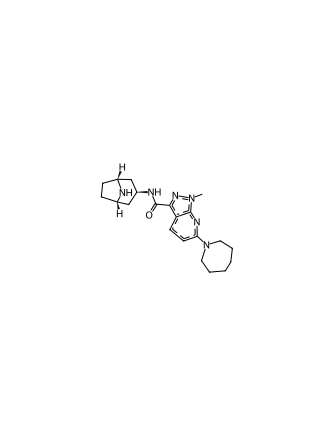 Cn1nc(C(=O)N[C@@H]2C[C@H]3CC[C@@H](C2)N3)c2ccc(N3CCCCCC3)nc21